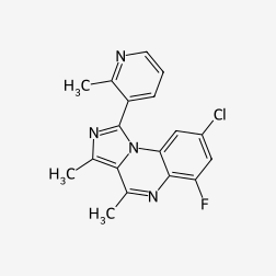 Cc1ncccc1-c1nc(C)c2c(C)nc3c(F)cc(Cl)cc3n12